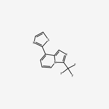 FC(F)(F)c1ncc2c(-c3nccs3)cccn12